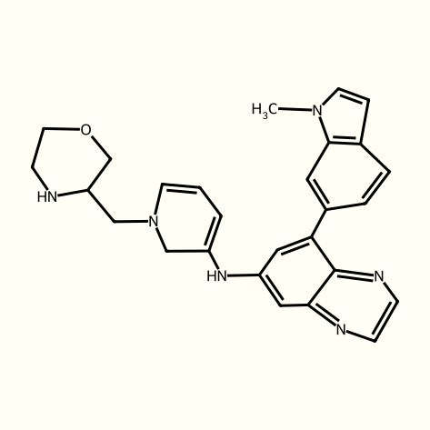 Cn1ccc2ccc(-c3cc(NC4=CC=CN(CC5COCCN5)C4)cc4nccnc34)cc21